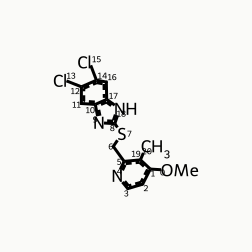 COc1ccnc(CSc2nc3cc(Cl)c(Cl)cc3[nH]2)c1C